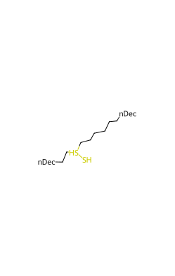 CCCCCCCCCCCCCCCC[SH](S)CCCCCCCCCCCC